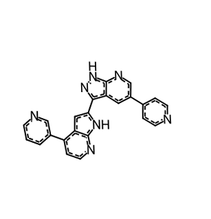 c1cncc(-c2ccnc3[nH]c(-c4n[nH]c5ncc(-c6ccncc6)cc45)cc23)c1